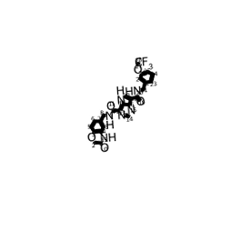 O=C1COc2ccc(CNC(=O)c3ncnc4c(C(=O)NCc5cccc(OC(F)(F)F)c5)c[nH]c34)cc2N1